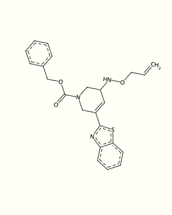 C=CCONC1C=C(c2nc3ccccc3s2)CN(C(=O)OCc2ccccc2)C1